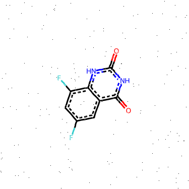 O=c1[nH]c(=O)c2cc(F)cc(F)c2[nH]1